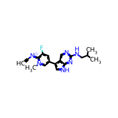 C#C/N=c1/c(F)cc(-c2c[nH]c3nc(NCC(C)C)ncc23)cn1C